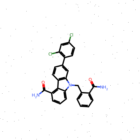 NC(=O)c1ccccc1Cn1c2cc(-c3ccc(Cl)cc3Cl)c[c]c2c2c(C(N)=O)cccc21